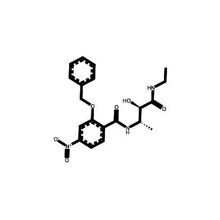 CCNC(=O)[C@H](O)[C@H](C)NC(=O)c1ccc([N+](=O)[O-])cc1OCc1ccccc1